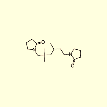 CC(CCN1CCCC1=O)CC(C)(C)CN1CCCC1=O